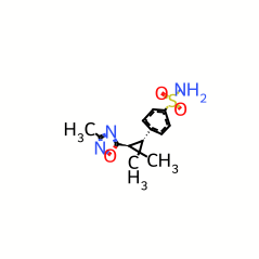 Cc1noc([C@H]2[C@H](c3ccc(S(N)(=O)=O)cc3)C2(C)C)n1